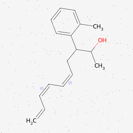 C=C/C=C\C=C/CC(c1ccccc1C)C(C)O